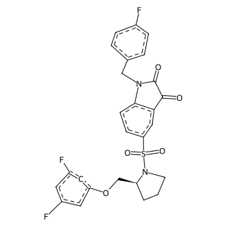 O=C1C(=O)N(Cc2ccc(F)cc2)c2ccc(S(=O)(=O)N3CCC[C@H]3COc3cc(F)cc(F)c3)cc21